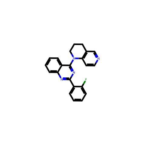 Fc1ccccc1-c1nc(N2CCCc3cnccc32)c2ccccc2n1